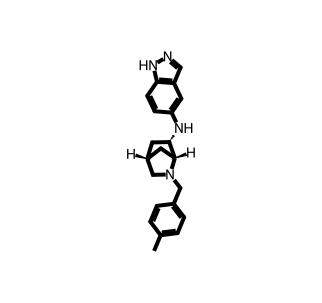 Cc1ccc(CN2C[C@@H]3C[C@H](Nc4ccc5[nH]ncc5c4)[C@H]2C3)cc1